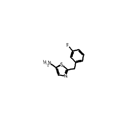 Nc1cnc(Cc2cccc(F)c2)s1